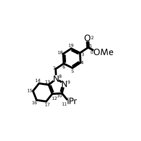 COC(=O)c1ccc(Cn2nc(C(C)C)c3c2CCCC3)cc1